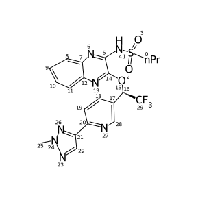 CCCS(=O)(=O)Nc1nc2ccccc2nc1O[C@H](c1ccc(-c2cnn(C)n2)nc1)C(F)(F)F